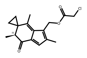 CC1=C(COC(=O)CCl)C2=C(C)C3(CC3)[C@H](C)C(=O)C2=C1